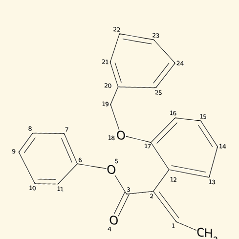 CC=C(C(=O)Oc1ccccc1)c1ccccc1OCc1ccccc1